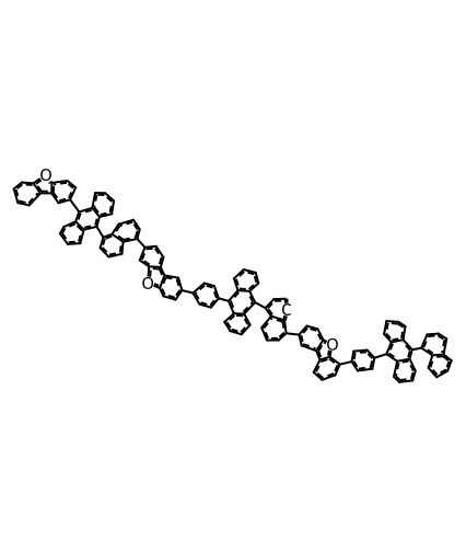 c1ccc2c(-c3c4ccccc4c(-c4ccc(-c5cccc6c5oc5ccc(-c7cccc8c(-c9c%10ccccc%10c(-c%10ccc(-c%11ccc%12oc%13cc(-c%14cccc%15c(-c%16c%17ccccc%17c(-c%17ccc%18oc%19ccccc%19c%18c%17)c%17ccccc%16%17)cccc%14%15)ccc%13c%12c%11)cc%10)c%10ccccc9%10)cccc78)cc56)cc4)c4ccccc34)cccc2c1